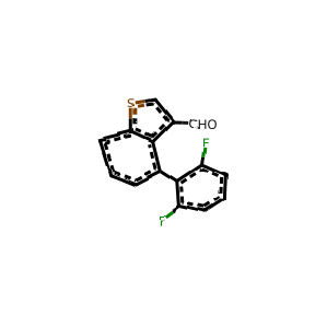 O=Cc1csc2cccc(-c3c(F)cccc3F)c12